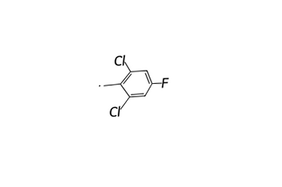 [CH2]c1c(Cl)cc(F)cc1Cl